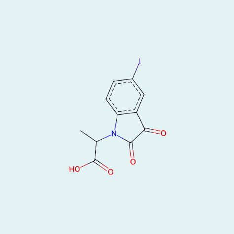 CC(C(=O)O)N1C(=O)C(=O)c2cc(I)ccc21